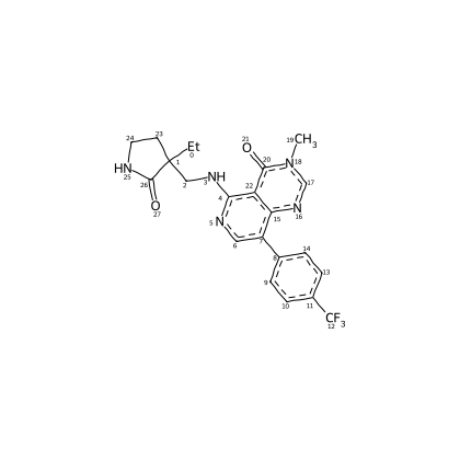 CCC1(CNc2ncc(-c3ccc(C(F)(F)F)cc3)c3ncn(C)c(=O)c23)CCNC1=O